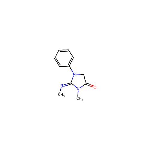 CN=C1N(C)C(=O)CN1c1ccccc1